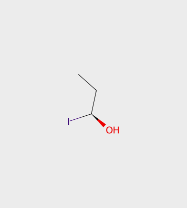 CC[C@@H](O)I